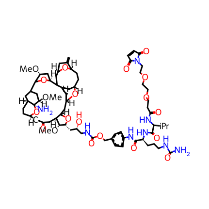 C=C1C[C@@H]2CC3[C@@H]4C[C@@H](OC)C(O4)C4C[C@H]5CC[C@H](CC(=O)C[C@@H]6[C@@H](OC)[C@@H](C[C@H](O)CNC(=O)OCc7ccc(NC(=O)[C@H](CCCNC(N)=O)NC(=O)C(NC(=O)CCOCCOCCN8C(=O)C=CC8=O)C(C)C)cc7)O[C@H]6C[C@H]6O[C@@H](CC[C@@H]1O2)C[C@@H]3C6=C)O[C@]5(N)[C@H](OC)C4